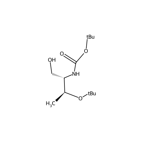 C[C@H](OC(C)(C)C)[C@H](CO)NC(=O)OC(C)(C)C